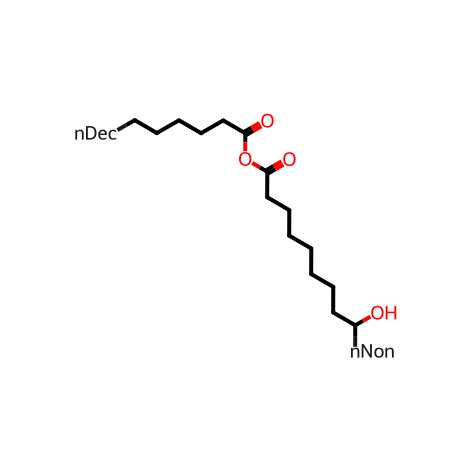 CCCCCCCCCCCCCCCC(=O)OC(=O)CCCCCCCC(O)CCCCCCCCC